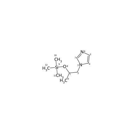 CC(Cn1ccnc1)O[Si](C)(C)C